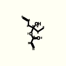 C=CCC(O)(CC)OC(=O)C=C